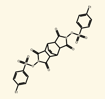 CCc1ccc(S(=O)(=O)ON2C(=O)C3C4C=CC(C3C2=O)C2C(=O)N(OS(=O)(=O)c3ccc(CC)cc3)C(=O)C42)cc1